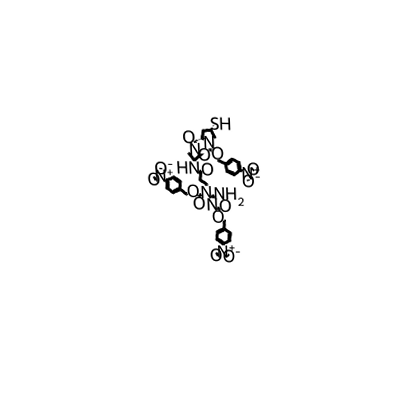 NC(=NC(=O)OCc1ccc([N+](=O)[O-])cc1)N(CCC(=O)NC1CN(C(=O)[C@@H]2C[C@H](S)CN2C(=O)OCc2ccc([N+](=O)[O-])cc2)C1)C(=O)OCc1ccc([N+](=O)[O-])cc1